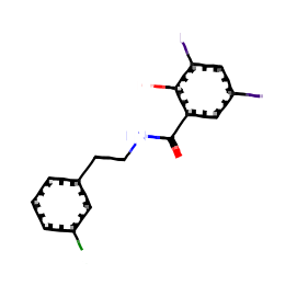 O=C(NCCc1cccc(Cl)c1)c1cc(I)cc(I)c1O